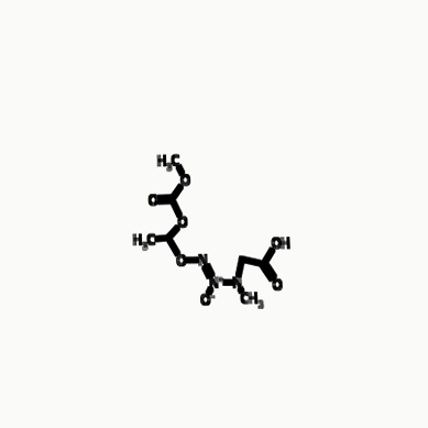 COC(=O)OC(C)O/N=[N+](\[O-])N(C)CC(=O)O